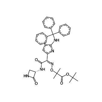 CC(C)(C)OC(=O)C(C)(C)O/N=C(\C(=O)N[C@H]1CNC1=O)c1csc(NC(c2ccccc2)(c2ccccc2)c2ccccc2)n1